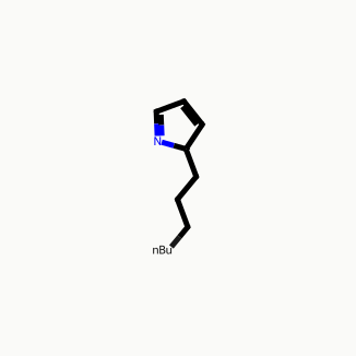 CCCCCCC[C]1C=CC=N1